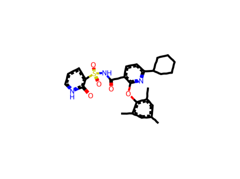 Cc1cc(C)c(Oc2nc(C3CCCCC3)ccc2C(=O)NS(=O)(=O)c2ccc[nH]c2=O)c(C)c1